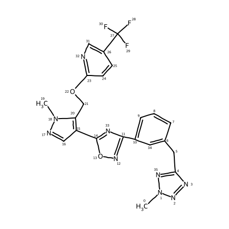 Cn1nnc(Cc2cccc(-c3noc(-c4cnn(C)c4COc4ccc(C(F)(F)F)cn4)n3)c2)n1